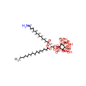 CCCCCCCCCCCCCCCC(=O)O[C@H](COC(=O)CCCCCCCCCCCCN)COP(=O)(O)OC1C(O)[C@@H](OP(=O)(O)O)C(OP(=O)(O)O)[C@@H](OP(=O)(O)O)[C@H]1O